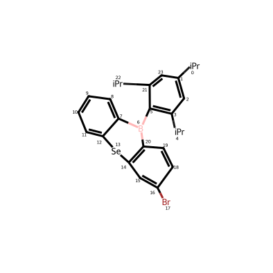 CC(C)c1cc(C(C)C)c(B2c3ccccc3[Se]c3cc(Br)ccc32)c(C(C)C)c1